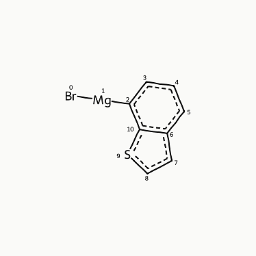 [Br][Mg][c]1cccc2ccsc12